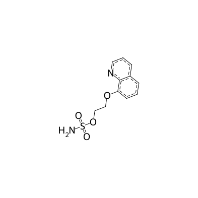 NS(=O)(=O)OCCOc1cccc2cccnc12